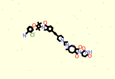 C/C1=C(N2CC(N3CCC(C#Cc4ccc5c(c4)CN([C@H]4C(C)(C)[C@H](Oc6ccc(C#N)c(Cl)c6)C4(C)C)C5=O)CC3)C2)/C=C\C2=C(CC1)C(=O)N(C1CCC(=O)NC1=O)C2=O